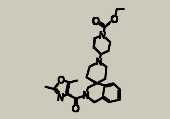 CCOC(=O)N1CCC(N2CCC3(CC2)CN(C(=O)c2nc(C)oc2C)Cc2ccccc23)CC1